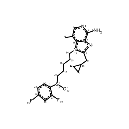 Cc1cnc(N)c2nc(CC3CC3)n(CCCCC[S+]([O-])c3ccc(F)cc3F)c12